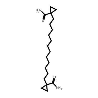 NC(=O)C1(CCCCCCCCCCCCC2(C(N)=O)CC2)CC1